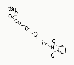 CC(C)(C)OC(=O)COCCOCCOCCOCCN1C(=O)c2ccccc2C1=O